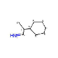 CC(C=N)C1CCCCC1